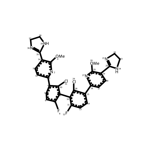 COc1nc(-c2ccc(F)c(-c3c(F)ccc(-c4ccc(C5=NCCN5)c(OC)n4)c3Cl)c2Cl)ccc1C1=NCCN1